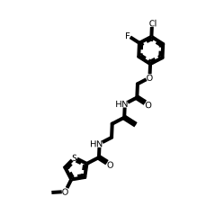 C=C(CCNC(=O)c1cc(OC)cs1)NC(=O)COc1ccc(Cl)c(F)c1